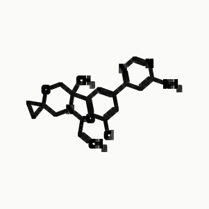 C=CC(=O)N1CC2(CC2)OCC1(C)c1cc(Cl)cc(-c2cc(N)ncn2)c1